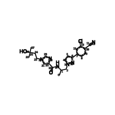 CC(Cn1ccc(-c2ccc(C#N)c(Cl)c2)n1)NC(=O)c1cn(CCC(C)(C)O)cn1